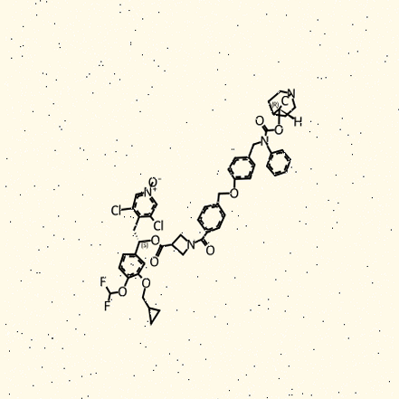 O=C(O[C@@H](Cc1c(Cl)c[n+]([O-])cc1Cl)c1ccc(OC(F)F)c(OCC2CC2)c1)C1CN(C(=O)c2ccc(COc3ccc(CN(C(=O)O[C@H]4CN5CCC4CC5)c4ccccc4)cc3)cc2)C1